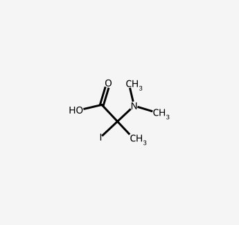 CN(C)C(C)(I)C(=O)O